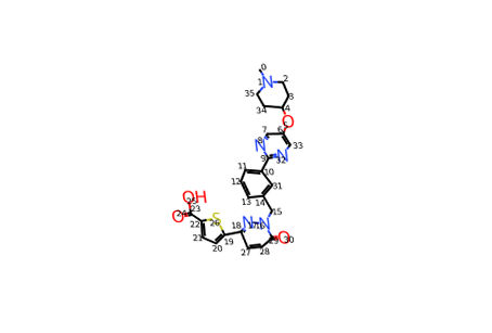 CN1CCC(Oc2cnc(-c3cccc(Cn4nc(-c5ccc(C(=O)O)s5)ccc4=O)c3)nc2)CC1